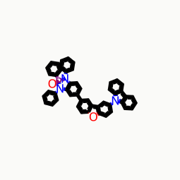 O=P1(c2ccccc2)N(c2ccccc2)c2ccc(-c3ccc4oc5ccc(-n6c7ccccc7c7ccccc76)cc5c4c3)cc2N1c1ccccc1